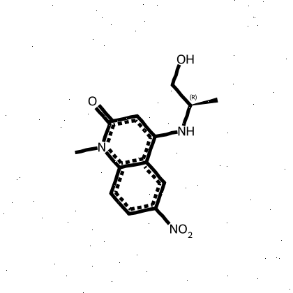 C[C@H](CO)Nc1cc(=O)n(C)c2ccc([N+](=O)[O-])cc12